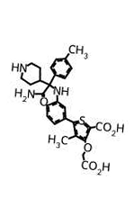 Cc1ccc(C(Nc2cccc(-c3sc(C(=O)O)c(OCC(=O)O)c3C)c2)(C(N)=O)C2CCNCC2)cc1